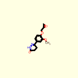 COc1cc(C2=NNC(=O)CC2)ccc1OCC1CO1